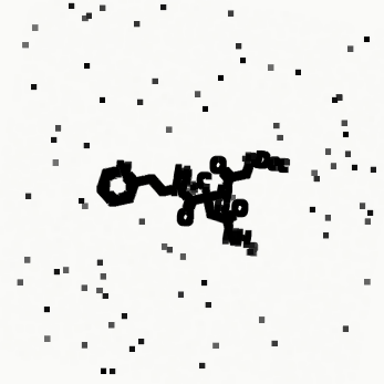 CCCCCCCCCCCC(=O)N[C@](C)(CC(N)=O)C(=O)NCCc1ccccn1